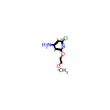 COCCOc1cc(N)cc(Cl)n1